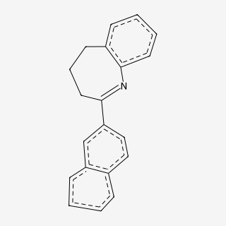 c1ccc2c(c1)CCCC(c1ccc3ccccc3c1)=N2